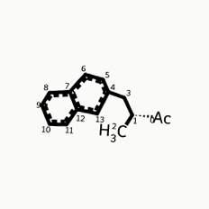 CC(=O)[C@H](C)Cc1ccc2ccccc2c1